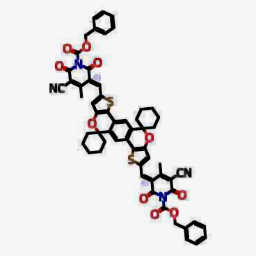 CC1=C(C#N)C(=O)N(C(=O)OCc2ccccc2)C(=O)/C1=C/c1cc2c(s1)-c1cc3c(cc1C1(CCCCC1)O2)-c1sc(/C=C2/C(=O)N(C(=O)OCc4ccccc4)C(=O)C(C#N)=C2C)cc1OC31CCCCC1